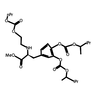 CCCOC(=O)OCCN[C@@H](Cc1ccc(OC(=O)OC(C)C(C)C)c(OC(=O)OC(C)C(C)C)c1)C(=O)OC